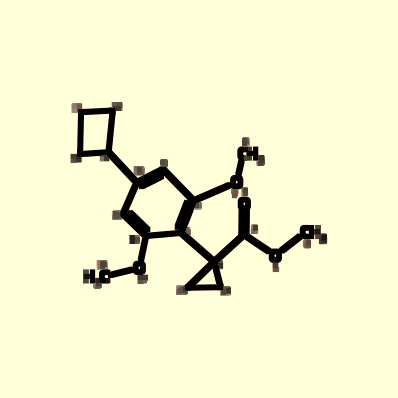 COC(=O)C1(c2c(OC)cc(C3CCC3)cc2OC)CC1